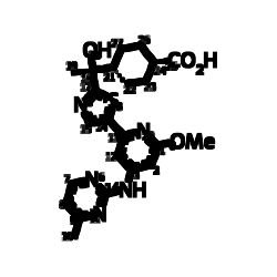 COc1cc(Nc2nccc(C)n2)cc(-c2cnc([C@](C)(O)[C@H]3CC[C@H](C(=O)O)CC3)s2)n1